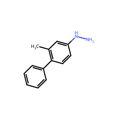 Cc1cc(NN)ccc1-c1ccccc1